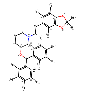 [2H]c1c([2H])c([2H])c(C(O[C@@H]2CCCN(CCc3c([2H])c([2H])c4c(c3[2H])OC([2H])([2H])O4)C2)c2c([2H])c([2H])c([2H])c([2H])c2[2H])c([2H])c1[2H]